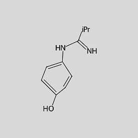 CC(C)C(=N)Nc1ccc(O)cc1